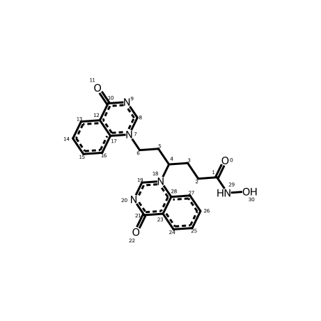 O=C(CCC(CCn1cnc(=O)c2ccccc21)n1cnc(=O)c2ccccc21)NO